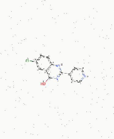 Oc1nc(-c2ccncc2)nc2ccc(Cl)cc12